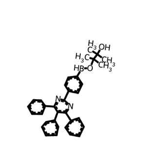 CC(C)(O)C(C)(C)OBc1ccc(-c2nc(-c3ccccc3)c(-c3ccccc3)c(-c3ccccc3)n2)cc1